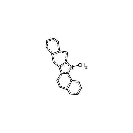 Cn1c2cc3ccccc3cc2c2ccc3ccccc3c21